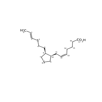 CC=CSCC[C@@H]1CSC[C@@H]1C/C=C\CCCC(=O)O